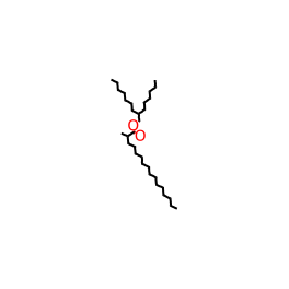 CCCCCCCCCCCCCCC(C)C(=O)OCC(CCCCCC)CCCCCCC